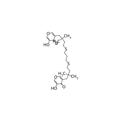 CC(C)(CCSCCCSCCC(C)(C)Cc1cocc(O)c1=O)Cc1cocc(O)c1=O